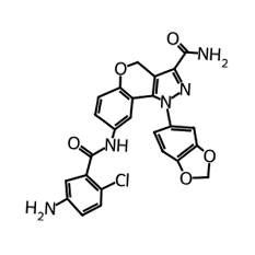 NC(=O)c1nn(-c2ccc3c(c2)OCO3)c2c1COc1ccc(NC(=O)c3cc(N)ccc3Cl)cc1-2